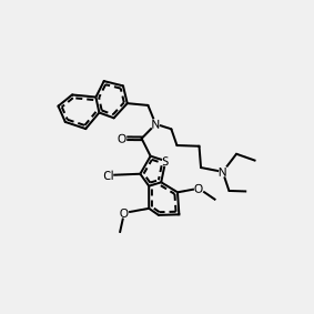 CCN(CC)CCCCN(Cc1ccc2ccccc2c1)C(=O)c1sc2c(OC)ccc(OC)c2c1Cl